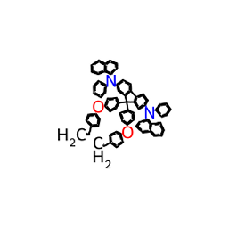 C=Cc1ccc(Oc2ccc(C3(c4ccc(Oc5ccc(C=C)cc5)cc4)c4cc(N(c5ccccc5)c5cccc6ccccc56)ccc4-c4ccc(N(c5ccccc5)c5cccc6ccccc56)cc43)cc2)cc1